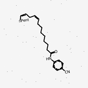 CCCCC/C=C\C/C=C\CCCCCCCC(=O)Nc1ccc(C#N)cc1